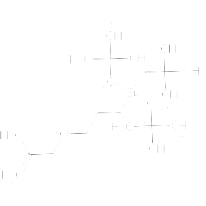 C=C(C)COCCC[Si](OC(C)(C)C)(OC(C)(C)C)OC(C)(C)C